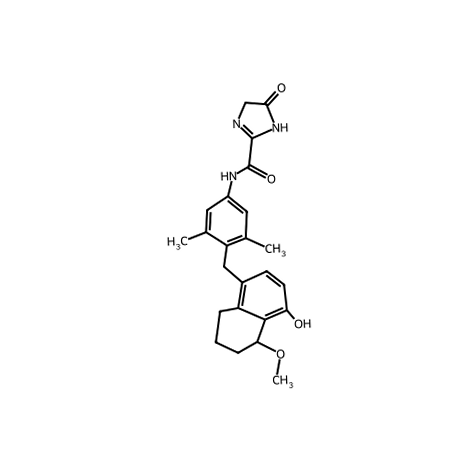 COC1CCCc2c(Cc3c(C)cc(NC(=O)C4=NCC(=O)N4)cc3C)ccc(O)c21